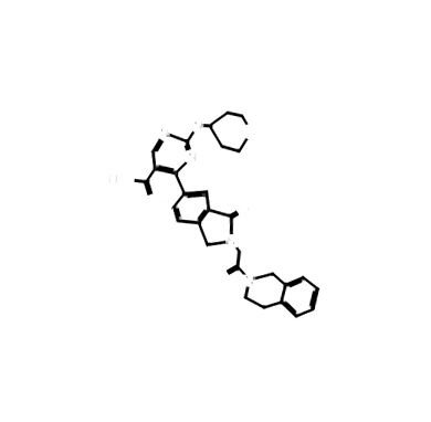 C=C(C)c1cnc(NC2CCOCC2)nc1-c1ccc2c(c1)C(=O)N(CC(=O)N1CCc3ccccc3C1)C2